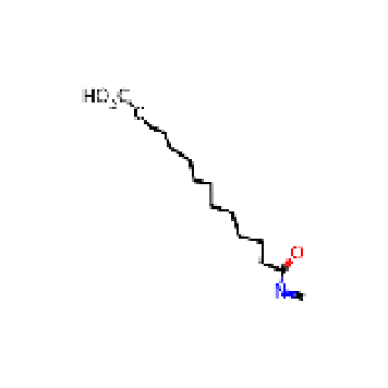 C=NC(=O)CCCCCCCCCCCCC(=O)O